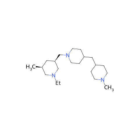 CCN1C[C@@H](C)C[C@@H](CN2CCC(CC3CCN(C)CC3)CC2)C1